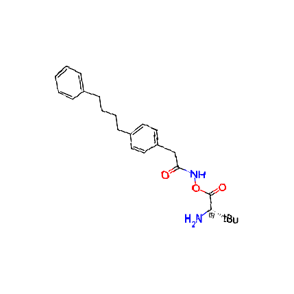 CC(C)(C)[C@H](N)C(=O)ONC(=O)Cc1ccc(CCCCc2ccccc2)cc1